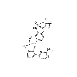 Cc1ccc2c(NS(=O)(=O)CC(F)(F)C(F)(F)F)c(F)ccc2c1Oc1ncccc1-c1ccnc(N)n1